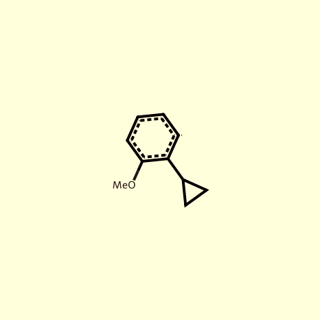 COc1ccc[c]c1C1CC1